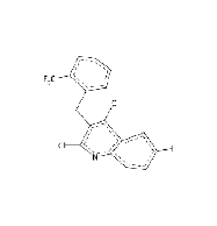 FC(F)(F)c1ccccc1Cc1c(Cl)nc2ccc(I)cc2c1Cl